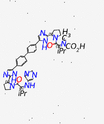 CC(C)[C@H](Nc1cncnc1)C(=O)N1CCC[C@H]1c1ncc(-c2ccc(-c3ccc(-c4cnc([C@@H]5CCCN5C(=O)[C@H](C(C)C)N(C)C(=O)O)[nH]4)cc3)cc2)[nH]1